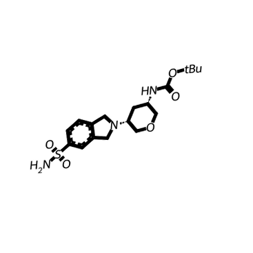 CC(C)(C)OC(=O)N[C@@H]1COC[C@H](N2Cc3ccc(S(N)(=O)=O)cc3C2)C1